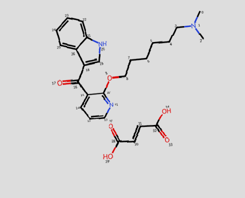 CN(C)CCCCCCOc1ncccc1C(=O)c1c[nH]c2ccccc12.O=C(O)C=CC(=O)O